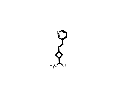 CC(C)C1CC(CCc2cccnc2)C1